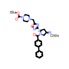 CO/N=C1/C[C@@H](c2noc(CN3CCN(C(=O)OC(C)(C)C)CC3)n2)N(C(=O)c2ccc(-c3ccccc3)cc2)C1